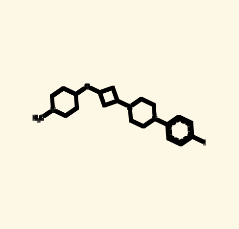 CN1CCC(OC2CC(N3CCN(c4ccc(I)cc4)CC3)C2)CC1